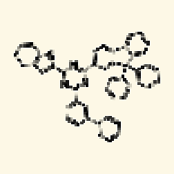 C1=Cc2sc(-c3nc(-c4cccc(-c5ccccc5)c4)nc(-c4ccc5c(c4)C(c4ccccc4)(c4ccccc4)c4ccccc4-5)n3)cc2CC1